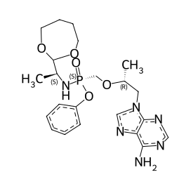 C[C@H](Cn1cnc2c(N)ncnc21)OC[P@@](=O)(N[C@@H](C)C1OCCCCO1)Oc1ccccc1